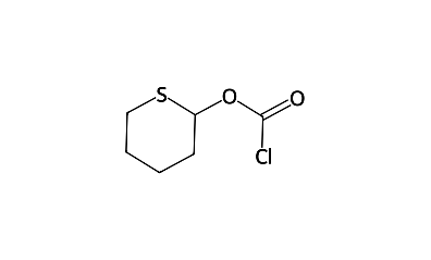 O=C(Cl)OC1CCCCS1